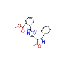 COC(=O)c1ccccc1-c1nc(-c2c(-c3ccccc3)noc2C)c[nH]1